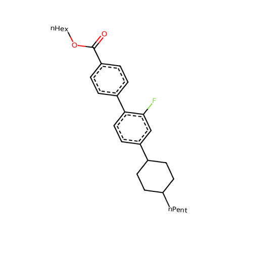 CCCCCCOC(=O)c1ccc(-c2ccc(C3CCC(CCCCC)CC3)cc2F)cc1